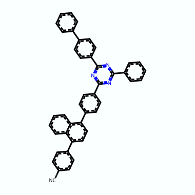 N#Cc1ccc(-c2ccc(-c3ccc(-c4nc(-c5ccccc5)nc(-c5ccc(-c6ccccc6)cc5)n4)cc3)c3ccccc23)cc1